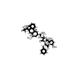 CN1C[C@H](C(=O)N[C@]2(C)O[C@@]3(O)[C@@H]4CC[C@@H](O)N4C(=O)[C@H](Cc4ccccc4)N3C2=O)C[C@@H]2c3cccc4[nH]c(C(F)(F)F)c(c34)C[C@H]21